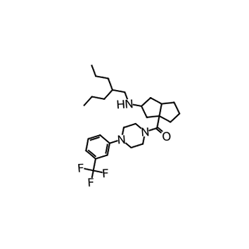 CCCC(CCC)CNC1CC2CCCC2(C(=O)N2CCN(c3cccc(C(F)(F)F)c3)CC2)C1